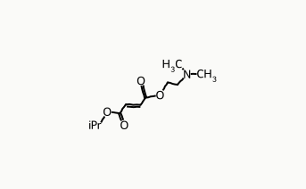 CC(C)OC(=O)/C=C/C(=O)OCCN(C)C